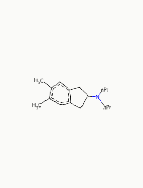 CCCN(CCC)C1Cc2cc(C)c(C)cc2C1